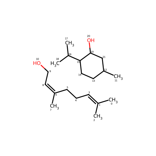 CC(C)=CCC/C(C)=C\CO.CC1CCC(C(C)C)C(O)C1